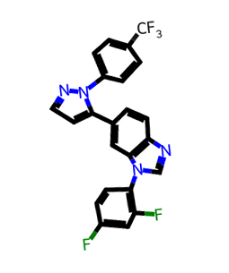 Fc1ccc(-n2cnc3ccc(-c4ccnn4-c4ccc(C(F)(F)F)cc4)cc32)c(F)c1